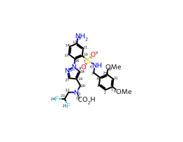 COc1ccc(CNS(=O)(=O)c2cc(N)ccc2-n2cc(CN(CC(F)F)C(=O)O)cn2)c(OC)c1